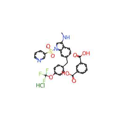 CNc1cn(S(=O)(=O)c2cccnc2)c2cc(Cc3ccc(OC(F)(F)F)cc3)ccc12.Cl.O=C(O)c1cccc(C(=O)O)c1